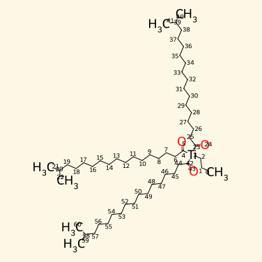 CC[CH2][Ti]([C](=O)CCCCCCCCCCCCCCC(C)C)([C](=O)CCCCCCCCCCCCCCC(C)C)[C](=O)CCCCCCCCCCCCCCC(C)C